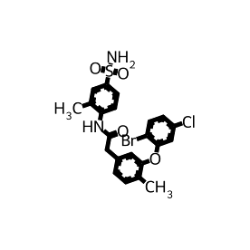 Cc1cc(S(N)(=O)=O)ccc1NC(=O)Cc1ccc(C)c(Oc2cc(Cl)ccc2Br)c1